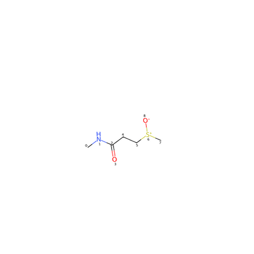 CNC(=O)CC[S+](C)[O-]